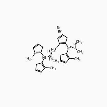 CC1=[C]([Hf+]([C]2=C(C)C=CC2)[SiH](C)C)CC=C1.CC1=[C]([Hf+]([C]2=C(C)C=CC2)[SiH](C)C)CC=C1.[Br-].[Br-]